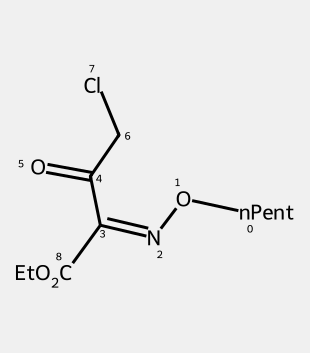 CCCCCO/N=C(\C(=O)CCl)C(=O)OCC